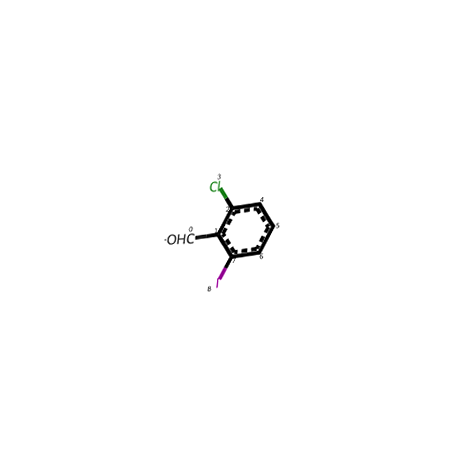 O=[C]c1c(Cl)cccc1I